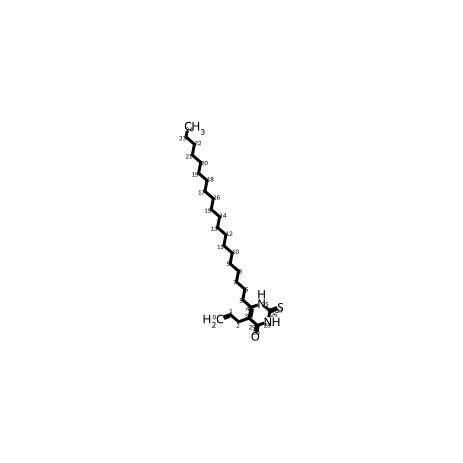 C=CCc1c(CCCCCCCCCCCCCCCCCCCC)[nH]c(=S)[nH]c1=O